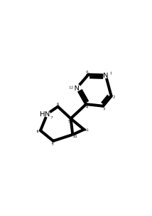 [c]1nccc(C23CNCCC2C3)n1